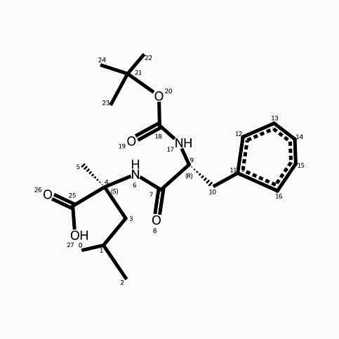 CC(C)C[C@](C)(NC(=O)[C@@H](Cc1ccccc1)NC(=O)OC(C)(C)C)C(=O)O